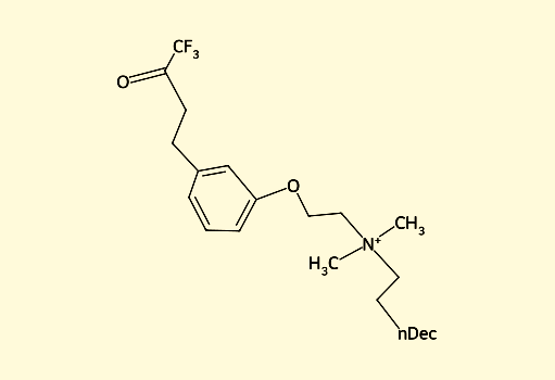 CCCCCCCCCCCC[N+](C)(C)CCOc1cccc(CCC(=O)C(F)(F)F)c1